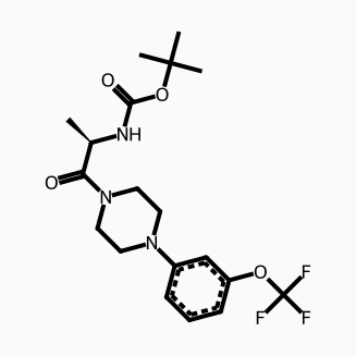 C[C@@H](NC(=O)OC(C)(C)C)C(=O)N1CCN(c2cccc(OC(F)(F)F)c2)CC1